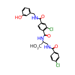 O=C(NCc1cccc(O)c1)c1ccc(C(=O)N[C@@H](CNC(=O)c2ccc(Cl)cc2)C(=O)O)c(Cl)c1